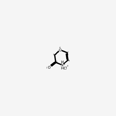 Cl.O=C1COC=CN1